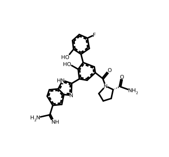 N=C(N)c1ccc2[nH]c(-c3cc(C(=O)N4CCC[C@H]4C(N)=O)cc(-c4cc(F)ccc4O)c3O)nc2c1